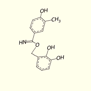 Cc1cc(C(=N)OCc2cccc(O)c2O)ccc1O